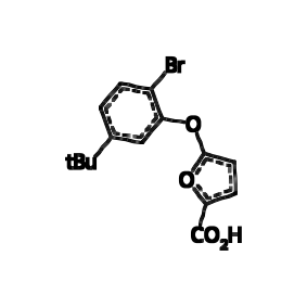 CC(C)(C)c1ccc(Br)c(Oc2ccc(C(=O)O)o2)c1